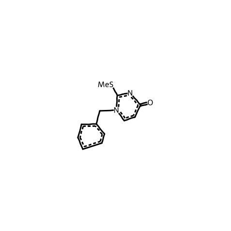 CSc1nc(=O)ccn1Cc1ccccc1